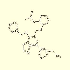 CC(=O)Oc1ccccc1OCc1cc(-c2cccc(CN)c2)c2occc2c1OCc1ccncc1